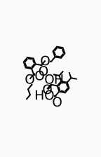 CC(C)c1ccc(C(=O)O)c(C(=O)O)c1C(C)C.CCCCOC(=O)c1ccccc1C(=O)OCc1ccccc1